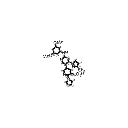 COc1cc(Nc2ncc(-c3cnc(-n4ccnc4)c(C(=O)O)c3)c(-n3ccc(C(F)(F)F)n3)n2)cc(OC)c1